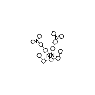 c1ccc(-c2cccc(-c3ccc(-c4cccc(-c5ccccc5)c4)c4nc(-c5ccc(-c6ccc(N(c7ccccc7)c7ccccc7)cc6)cc5)c(-c5ccc(-c6ccc(N(c7ccccc7)c7ccccc7)cc6)cc5)nc34)c2)cc1